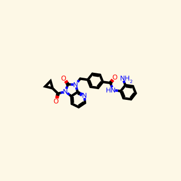 Nc1ccccc1NC(=O)c1ccc(Cn2c(=O)n(C(=O)C3CC3)c3cccnc32)cc1